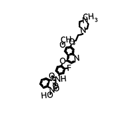 COc1cc2c(Oc3ccc(NS(=O)(=O)c4ccccc4[N+](=O)O)cc3F)ccnc2cc1OCCCN1CCN(C)CC1